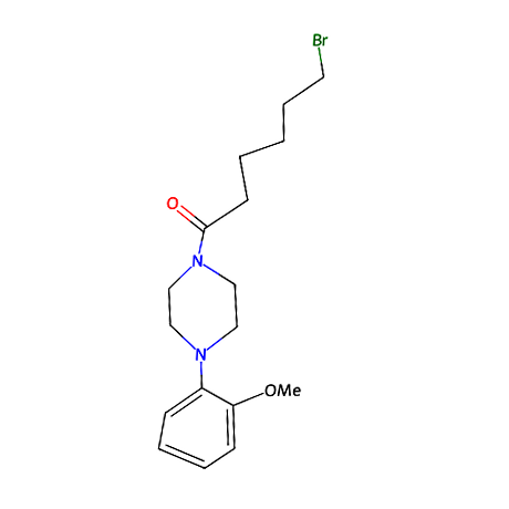 COc1ccccc1N1CCN(C(=O)CCCCCBr)CC1